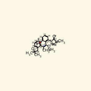 C/C(=C(\ON)c1c(-n2nnn(C)c2=O)cccc1C(F)(F)F)c1cccc2c1CC(C)(C)O2